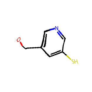 [O]Cc1cncc(S)c1